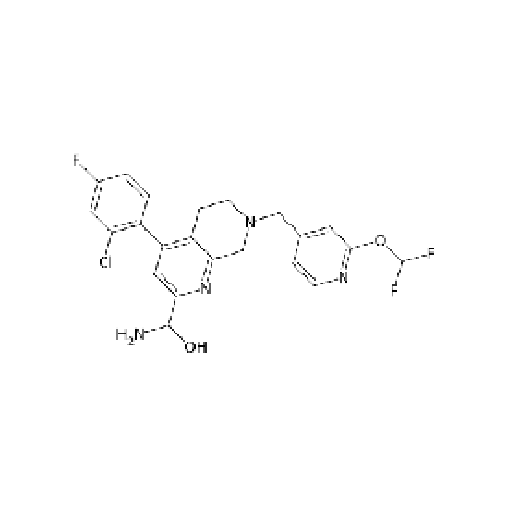 NC(O)c1cc(-c2ccc(F)cc2Cl)c2c(n1)CN(Cc1ccnc(OC(F)F)c1)CC2